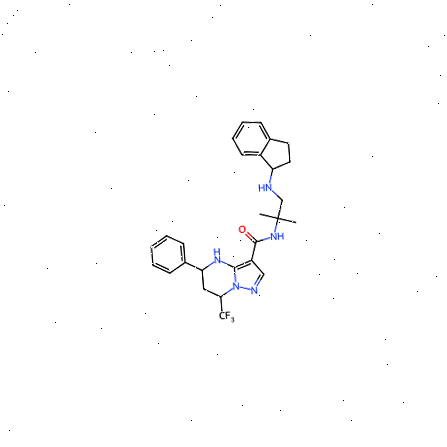 CC(C)(CNC1CCc2ccccc21)NC(=O)c1cnn2c1NC(c1ccccc1)CC2C(F)(F)F